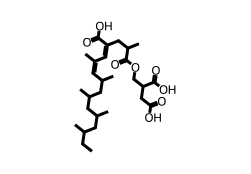 CCC(C)CC(C)CC(C)CC(C)C=C(C)C=C(CC(C)C(=O)OCC(CC(=O)O)C(=O)O)C(=O)O